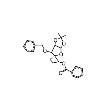 CC1(C)OC2O[C@]3(CC[C@@H]3OC(=O)c3ccccc3)C(OCc3ccccc3)C2O1